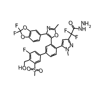 Cc1nc(-c2ccc3c(c2)OC(F)(F)O3)c(-c2cc(-c3cc(F)c(CO)c(S(C)(=O)=O)c3)ccc2-c2cc(C(F)(F)C(=O)NN)nn2C)o1